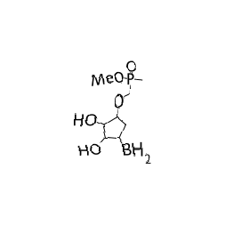 BC1CC(OCP(C)(=O)OC)C(O)C1O